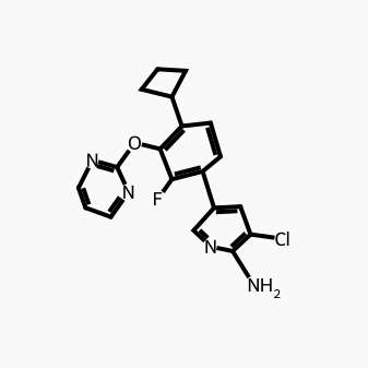 Nc1ncc(-c2ccc(C3CCC3)c(Oc3ncccn3)c2F)cc1Cl